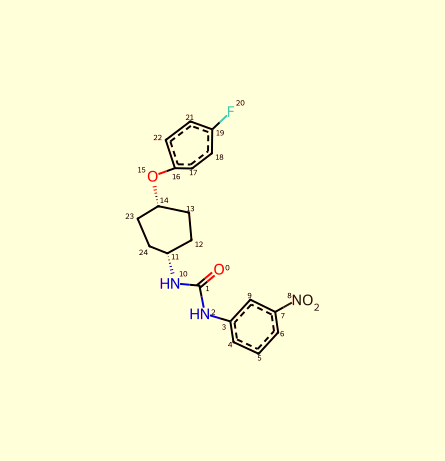 O=C(Nc1cccc([N+](=O)[O-])c1)N[C@H]1CC[C@@H](Oc2ccc(F)cc2)CC1